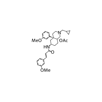 COc1cccc(C=CC(=O)N[C@@H]2CC[C@]3(OC(C)=O)CN(CC4CC4)CC[C@@]3(c3cccc(OC)c3)C2)c1